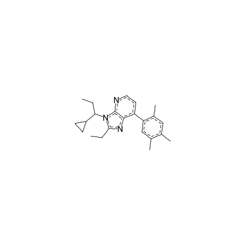 CCc1nc2c(-c3cc(C)c(C)cc3C)ccnc2n1C(CC)C1CC1